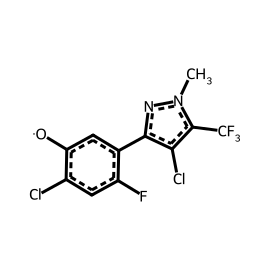 Cn1nc(-c2cc([O])c(Cl)cc2F)c(Cl)c1C(F)(F)F